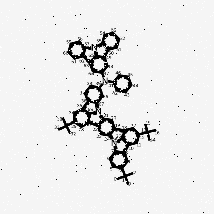 CC(C)(C)c1ccc2c(c1)c1cc(C(C)(C)C)cc3c4cc5c(cc4n2c13)c1cc(C(C)(C)C)cc2c3ccc(N(c4ccccc4)c4cc6c7ccccc7n7c8ccccc8c(c4)c67)cc3n5c21